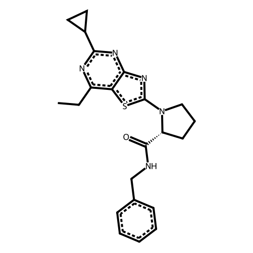 CCc1nc(C2CC2)nc2nc(N3CCC[C@@H]3C(=O)NCc3ccccc3)sc12